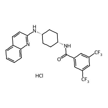 Cl.O=C(N[C@H]1CC[C@@H](Nc2ccc3ccccc3n2)CC1)c1cc(C(F)(F)F)cc(C(F)(F)F)c1